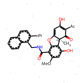 CCCc1ccc2ccccc2c1CNC(=O)c1c(OC)cc(O)c2c1OC1=CC(O)=C(C(C)=O)C(=O)[C@]12C